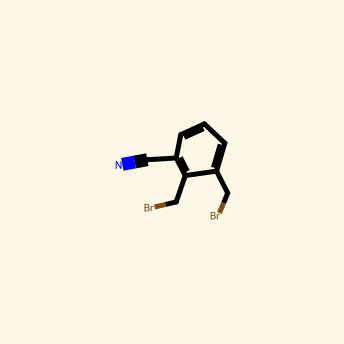 N#Cc1cccc(CBr)c1CBr